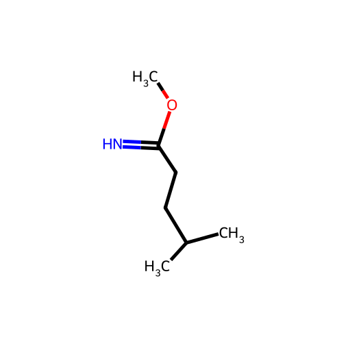 COC(=N)CCC(C)C